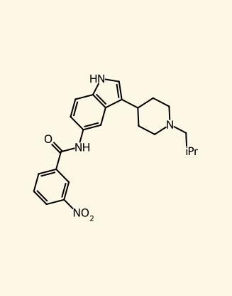 CC(C)CN1CCC(c2c[nH]c3ccc(NC(=O)c4cccc([N+](=O)[O-])c4)cc23)CC1